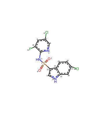 O=S(=O)(Nc1ncc(Cl)cc1F)c1c[nH]c2cc(Cl)ccc12